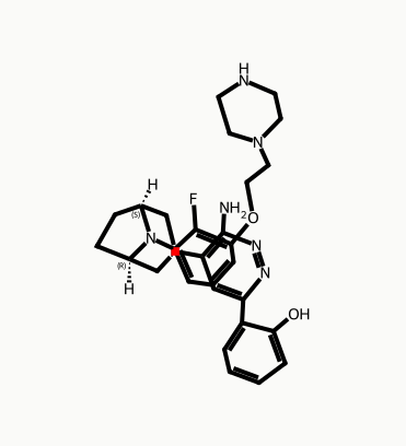 Nc1nnc(-c2ccccc2O)cc1N1C[C@H]2CC[C@@H](C1)N2c1cccc(OCCN2CCNCC2)c1F